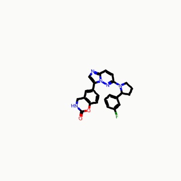 O=C1NCc2cc(-c3cnc4ccc(N5CCCC5c5cccc(F)c5)nn34)ccc2O1